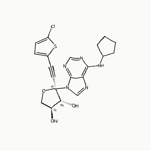 O[C@@H]1[C@@H](O)CO[C@@]1(C#Cc1ccc(Cl)s1)n1cnc2c(NC3CCCC3)ncnc21